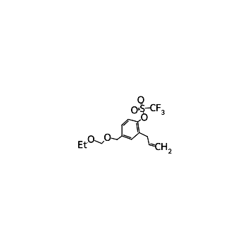 C=CCc1cc(COCOCC)ccc1OS(=O)(=O)C(F)(F)F